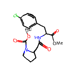 COC(=O)C(Cc1ccc(Cl)cc1)NC(=O)C1CCCN1C(=O)OC(C)(C)C